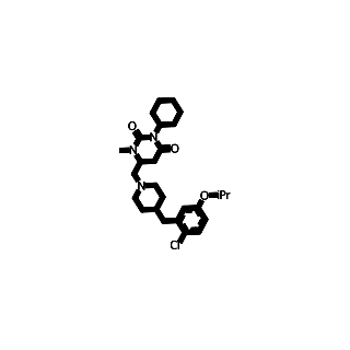 CC(C)Oc1ccc(Cl)c(CC2CCN(CC3CC(=O)N(C4CCCCC4)C(=O)N3C)CC2)c1